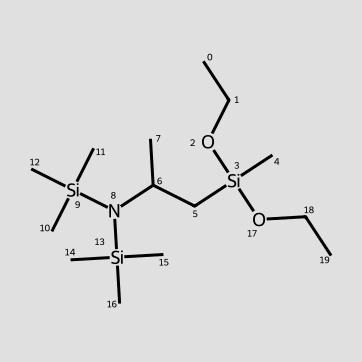 CCO[Si](C)(CC(C)N([Si](C)(C)C)[Si](C)(C)C)OCC